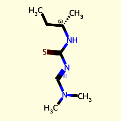 CC[C@H](C)NC(=S)/N=C/N(C)C